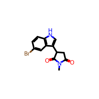 CN1C(=O)CC(c2c[nH]c3ccc(Br)cc23)C1=O